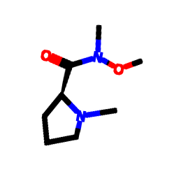 CON(C)C(=O)[C@@H]1CCCN1C